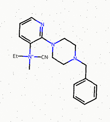 CC[N+](C)(C#N)c1cccnc1N1CCN(Cc2ccccc2)CC1